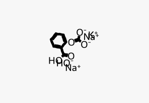 O=C(O)c1ccccc1.O=C([O-])[O-].[K+].[Na+].[Na+].[OH-]